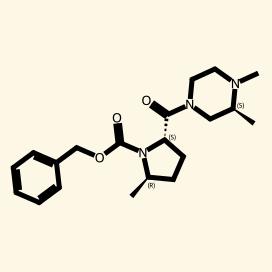 C[C@@H]1CC[C@@H](C(=O)N2CCN(C)[C@@H](C)C2)N1C(=O)OCc1ccccc1